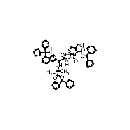 CC(C)(ON=C(C(=O)NC1C(=O)N2C(C(=O)OC(c3ccccc3)c3ccccc3)=C(CCl)CS[C@@H]12)c1csc(NC(c2ccccc2)(c2ccccc2)c2ccccc2)n1)C(=O)OC(c1ccccc1)c1ccccc1